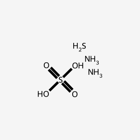 N.N.O=S(=O)(O)O.S